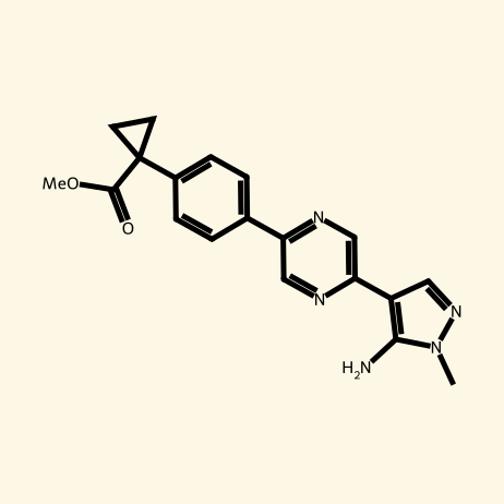 COC(=O)C1(c2ccc(-c3cnc(-c4cnn(C)c4N)cn3)cc2)CC1